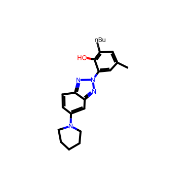 CCCCc1cc(C)cc(-n2nc3ccc(N4CCCCC4)cc3n2)c1O